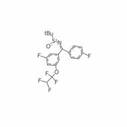 CC(C)(C)[S+]([O-])/N=C(/c1ccc(F)cc1)c1cc(F)cc(OC(F)(F)C(F)F)c1